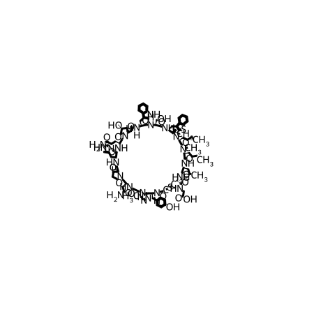 CCCC[C@H]1C(=O)N(C)[C@@H](CCCC)C(=O)N[C@@H](CC(C)C)C(=O)N[C@H](C(=O)NCC(=O)O)CSCC(=O)N[C@@H](Cc2ccc(O)cc2)c2nnnn2[C@@H](C)C(=O)N[C@@H](CC(N)=O)C(=O)N2CCC[C@H]2C(=O)NC(Cc2c[nH]cn2)C(=O)N[C@@H](CCC(N)=O)C(=O)N2C[C@H](O)C[C@H]2C(=O)N[C@@H](Cc2c[nH]c3ccccc23)C(=O)N[C@@H](CO)C(=O)N[C@@H](Cc2csc3ccccc23)C(=O)N1C